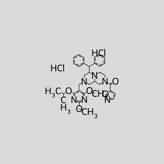 COc1nc(OC)c(CN2CC3CN(C(=O)c4ccno4)CCN3C(C(c3ccccc3)c3ccccc3)C2)c(OC(C)C)n1.Cl.Cl